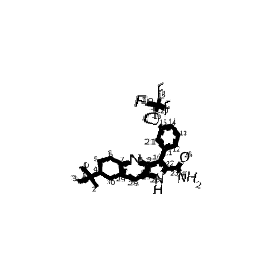 CC(C)(C)C1CCc2nc3c(-c4cccc(OC(F)(F)F)c4)c(C(N)=O)[nH]c3cc2C1